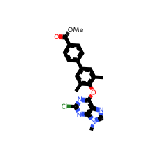 COC(=O)c1ccc(-c2cc(C)c(Oc3nc(Cl)nc4c3ncn4C)c(C)c2)cc1